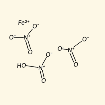 O=[N+]([O-])O.O=[N+]([O-])[O-].O=[N+]([O-])[O-].[Fe+2]